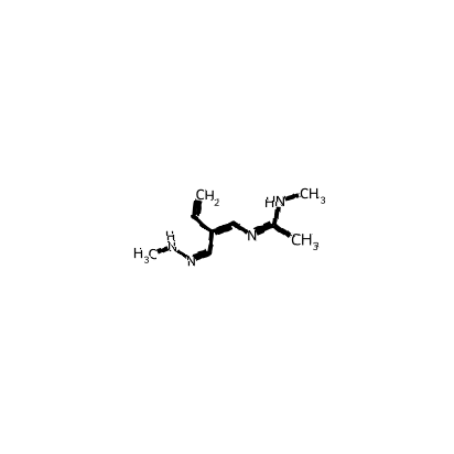 C=CC(/C=N\NC)=C/N=C(/C)NC